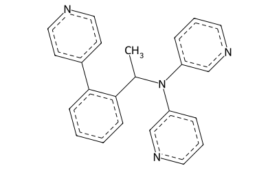 CC(c1ccccc1-c1ccncc1)N(c1cccnc1)c1cccnc1